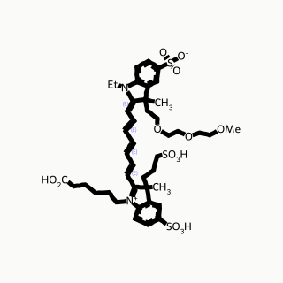 CCN1/C(=C/C=C/C=C/C=C/C2=[N+](CCCCCC(=O)O)c3ccc(S(=O)(=O)O)cc3C2(C)CCCS(=O)(=O)O)C(C)(CCOCCOCCOC)c2cc(S(=O)(=O)[O-])ccc21